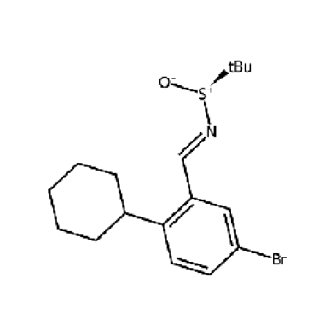 CC(C)(C)[S@+]([O-])/N=C/c1cc(Br)ccc1C1CCCCC1